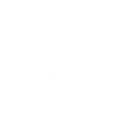 [CH](c1ccccc1)c1cc[nH]c1